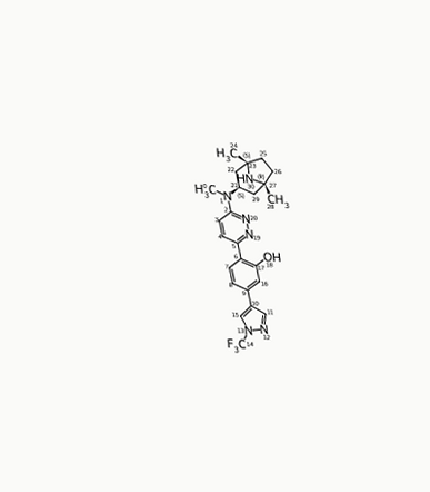 CN(c1ccc(-c2ccc(-c3cnn(C(F)(F)F)c3)cc2O)nn1)[C@H]1C[C@]2(C)CC[C@](C)(C1)N2